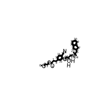 COCCOC(=O)CCc1ccc(C#N)c(OC[C@@H](O)CNC(C)(C)CC2Cc3ccccc3C2)c1